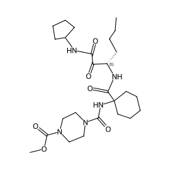 CCCC[C@H](NC(=O)C1(NC(=O)N2CCN(C(=O)OC)CC2)CCCCC1)C(=O)C(=O)NC1CCCC1